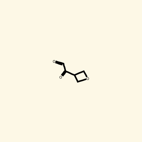 O=CC(=O)C1COC1